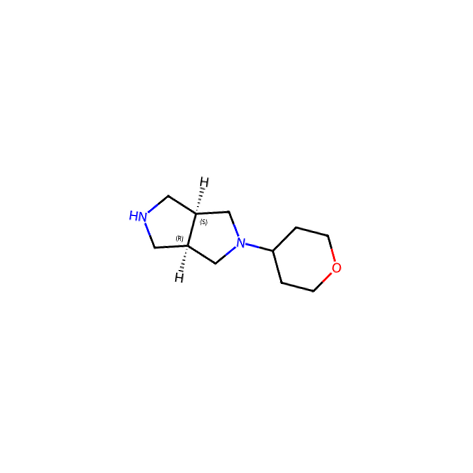 C1CC(N2C[C@H]3CNC[C@H]3C2)CCO1